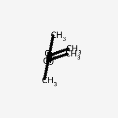 CCCCCCCCCCCCCCCC(=O)N(COCN(C(=O)CCCCCCCCCCCCCCC)C(=O)CCCCCCCCCCCCCCC)C(=O)CCCCCCCCCCCCCCC